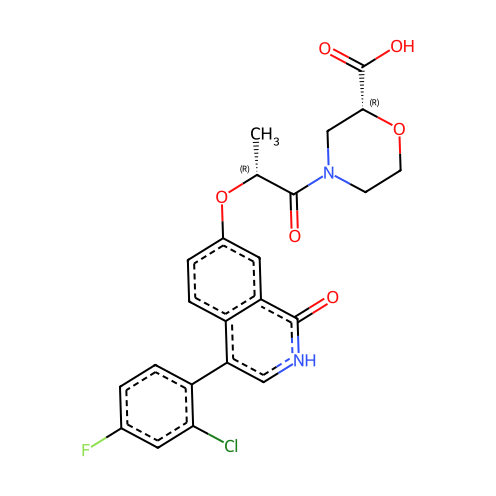 C[C@@H](Oc1ccc2c(-c3ccc(F)cc3Cl)c[nH]c(=O)c2c1)C(=O)N1CCO[C@@H](C(=O)O)C1